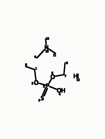 CCOP(O)(=S)OCC.CN(C)C.I